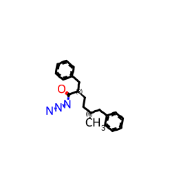 C[C@H](CC[C@H](Cc1ccccc1)C(=O)N=[N+]=[N-])Cc1ccccc1